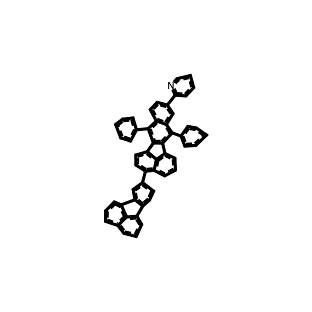 c1ccc(-c2c3c(c(-c4ccccc4)c4cc(-c5ccccn5)ccc24)-c2cccc4c(-c5ccc6c(c5)-c5cccc7cccc-6c57)ccc-3c24)cc1